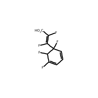 O=C(O)C(F)=C(F)C1(F)C=CC=C(F)C1F